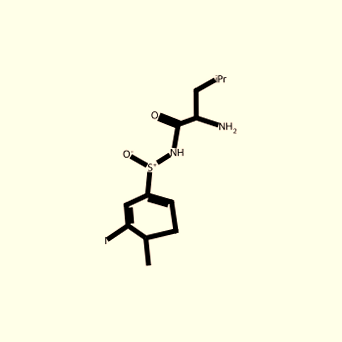 CC(C)CC(N)C(=O)N[S+]([O-])C1=CCC(C)C(I)=C1